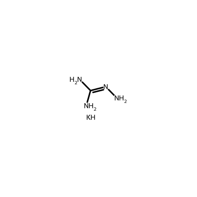 NN=C(N)N.[KH]